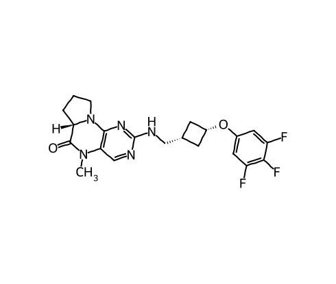 CN1C(=O)[C@@H]2CCCN2c2nc(NC[C@H]3C[C@@H](Oc4cc(F)c(F)c(F)c4)C3)ncc21